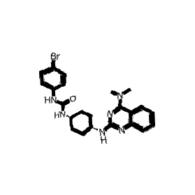 CN(C)c1nc(N[C@H]2CC[C@@H](NC(=O)Nc3ccc(Br)cc3)CC2)nc2ccccc12